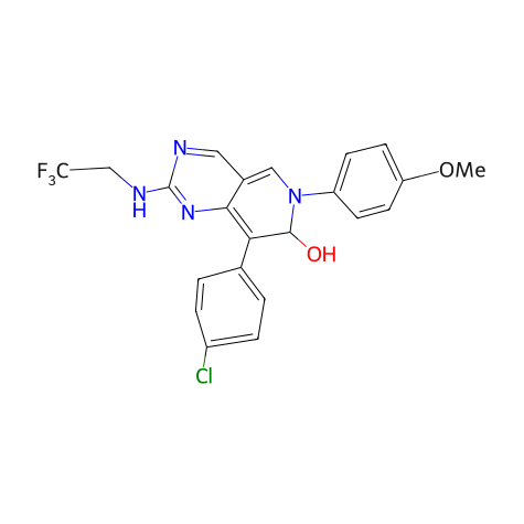 COc1ccc(N2C=c3cnc(NCC(F)(F)F)nc3=C(c3ccc(Cl)cc3)C2O)cc1